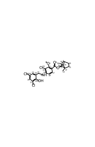 COc1c(C(=O)OC2CC3CCC2(C)C3(C)C)ccc(NCc2cc(Cl)cc(Cl)c2O)c1Cl